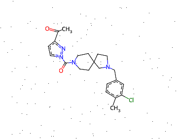 CC(=O)c1ccn(C(=O)N2CCC3(CCN(Cc4ccc(C)c(Cl)c4)C3)CC2)n1